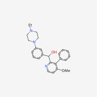 CCN1CCN(c2cccc(C(O)c3nccc(OC)c3-c3ccccc3)c2)CC1